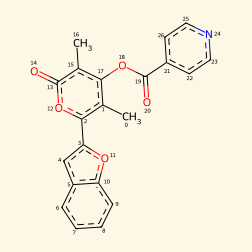 Cc1c(-c2cc3ccccc3o2)oc(=O)c(C)c1OC(=O)c1ccncc1